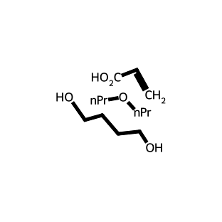 C=CC(=O)O.CCCOCCC.OCCCCO